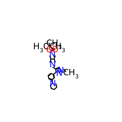 CCn1cc(CN2CC3CN(C(=O)OC(C)(C)C)CC3C2)c(-c2cccc(N3CCCCC3)c2)n1